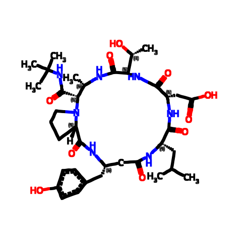 CC(C)C[C@@H]1NC(=O)C[C@H](Cc2ccc(O)cc2)NC(=O)[C@@H]2CCCN2[C@H](C(=O)NC(C)(C)C)[C@H](C)NC(=O)[C@H]([C@@H](C)O)NC(=O)[C@H](CC(=O)O)NC1=O